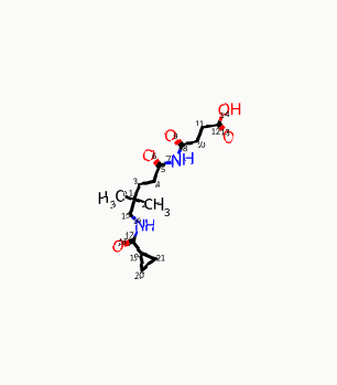 CC(C)(CCC(=O)NC(=O)CCC(=O)O)CNC(=O)C1CC1